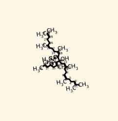 CC(C)=CCCC(C)=CCCC(C)=CCC(O)(CC=C(C)CCC=C(C)CCC=C(C)C)/C(=C(\C)CCC=C(C)C)S(C)(=O)=O